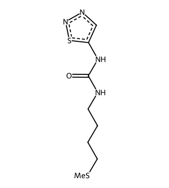 CSCCCCNC(=O)Nc1cnns1